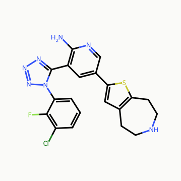 Nc1ncc(-c2cc3c(s2)CCNCC3)cc1-c1nnnn1-c1cccc(Cl)c1F